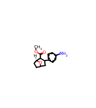 COC(=O)C1C(c2ccc(N)cc2)CC2CC[C@@H]1O2